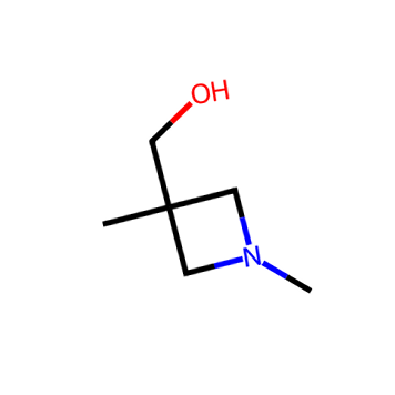 CN1CC(C)(CO)C1